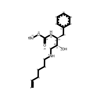 C=CCCCCNC[C@@H](O)[C@H](Cc1ccccc1)NC(=O)OC(C)(C)C